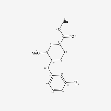 COC1CN(C(=O)OC(C)(C)C)CCC1Oc1cccc(C(F)(F)F)c1